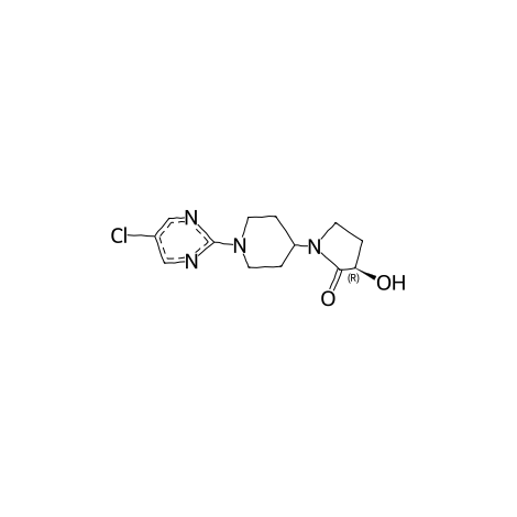 O=C1[C@H](O)CCN1C1CCN(c2ncc(Cl)cn2)CC1